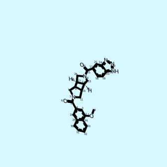 COc1cc(C(=O)N2CC3C(C2)[C@@H]2CN(C(=O)c4ccc5[nH]nnc5c4)C[C@H]32)cc2ccccc12